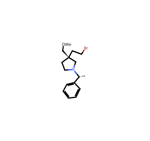 COC[C@]1(CCBr)CCN([C@H](C)c2ccccc2)C1